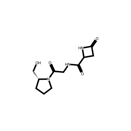 O=C1CC(C(=O)NCC(=O)N2CCC[C@@H]2CO)N1